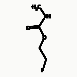 [CH2]NC(=O)OCCF